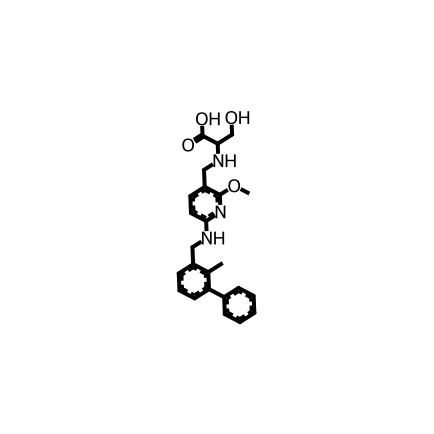 COc1nc(NCc2cccc(-c3ccccc3)c2C)ccc1CNC(CO)C(=O)O